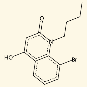 CCCCn1c(=O)cc(O)c2cccc(Br)c21